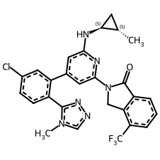 C[C@H]1C[C@@H]1Nc1cc(-c2cc(Cl)ccc2-c2nncn2C)cc(N2Cc3c(cccc3C(F)(F)F)C2=O)n1